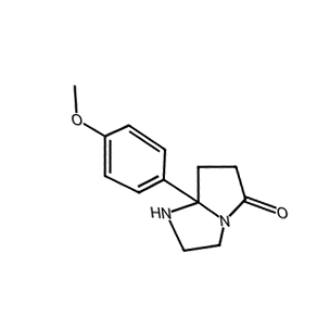 COc1ccc(C23CCC(=O)N2CCN3)cc1